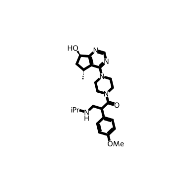 COc1ccc(C(CNC(C)C)C(=O)N2CCN(c3ncnc4c3[C@H](C)C[C@H]4O)CC2)cc1